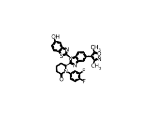 Cc1noc(C)c1-c1ccc2c(c1)nc([C@@H]1CCCC(=O)N1c1ccc(F)c(F)c1)n2-c1nc2cc(O)ccc2s1